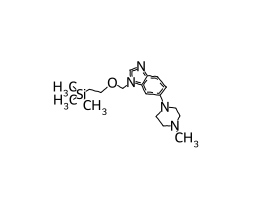 CN1CCN(c2ccc3ncn(COCC[Si](C)(C)C)c3c2)CC1